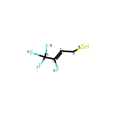 FC(=CCS)C(F)(F)F